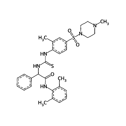 Cc1cc(S(=O)(=O)N2CCN(C)CC2)ccc1NC(=S)NC(C(=O)Nc1c(C)cccc1C)c1ccccc1